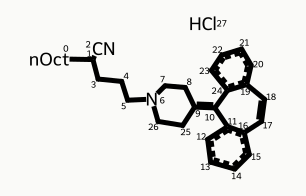 CCCCCCCCC(C#N)CCCN1CCC(=C2c3ccccc3C=Cc3ccccc32)CC1.Cl